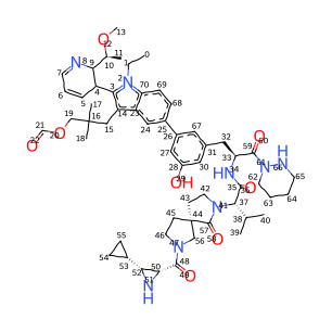 CCn1c(C2C=CC=NC2[C@H](C)OC)c(CC(C)(C)COC=O)c2cc(-c3cc(O)cc(C[C@H](NC(=O)[C@H](C(C)C)N4CC[C@]5(CCN(C(=O)[C@@H]6N[C@@H]6C6CC6)C5)C4=O)C(=O)N4CCCCN4)c3)ccc21